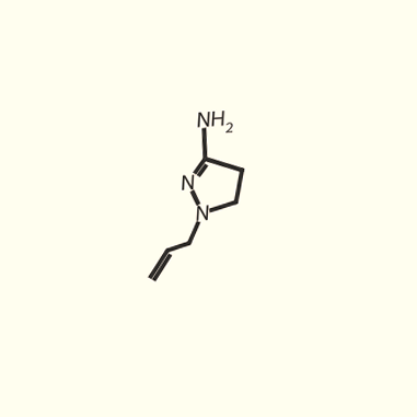 C=CCN1CCC(N)=N1